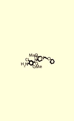 COc1cc(N)c(Cl)cc1C(=O)N[C@@H]1CCN(CCOC2CCCCC2)C[C@@H]1OC